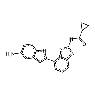 Nc1ccc2[nH]c(-c3cccc4nc(NC(=O)C5CC5)nn34)cc2c1